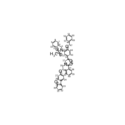 CS(=O)(=O)N(Cc1ccccc1)c1cc(C(=O)CN(CCOc2ccc3c(c2)oc2ccccc23)C(=O)c2ccccc2)ccc1OCc1ccccc1